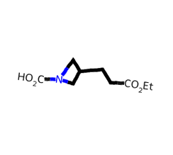 CCOC(=O)CCC1CN(C(=O)O)C1